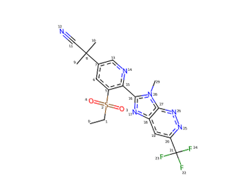 CCS(=O)(=O)c1cc(C(C)(C)C#N)cnc1-c1nc2cc(C(F)(F)F)nnc2n1C